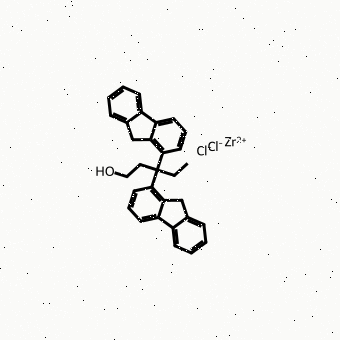 CCC(CCO)(c1cccc2c1Cc1ccccc1-2)c1cccc2c1Cc1ccccc1-2.[Cl-].[Cl-].[Zr+2]